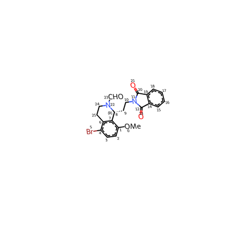 COc1ccc(Br)c2c1[C@@H](CCN1C(=O)c3ccccc3C1=O)N(C=O)CC2